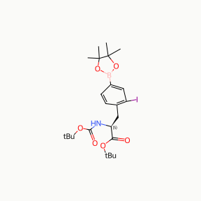 CC(C)(C)OC(=O)N[C@@H](Cc1ccc(B2OC(C)(C)C(C)(C)O2)cc1I)C(=O)OC(C)(C)C